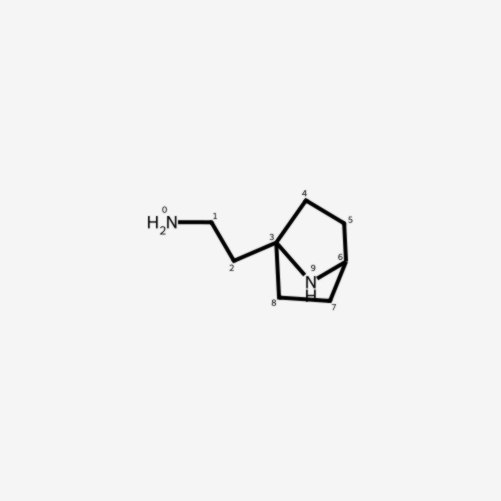 NCCC12CCC(CC1)N2